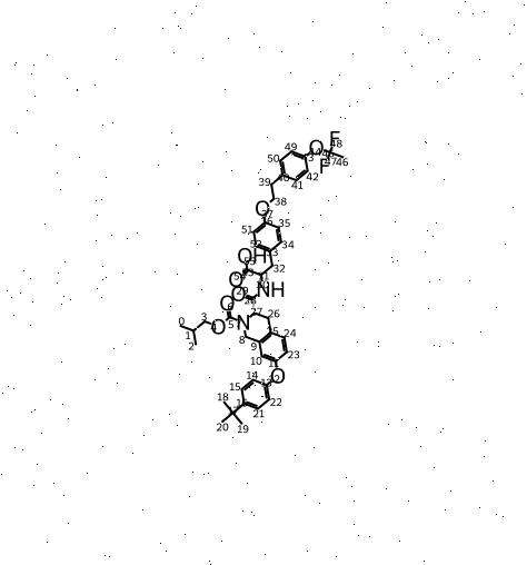 CC(C)COC(=O)N1Cc2cc(Oc3ccc(C(C)(C)C)cc3)ccc2C[C@H]1C(=O)NC(Cc1ccc(OCCc2ccc(OC(C)(F)F)cc2)cc1)C(=O)O